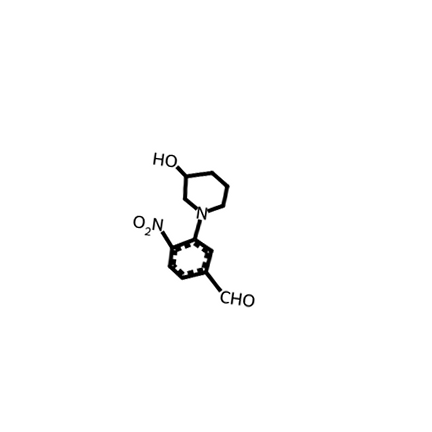 O=Cc1ccc([N+](=O)[O-])c(N2CCCC(O)C2)c1